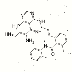 Cc1ccccc1N(C)C(=O)c1c(C)cccc1/C=C/CNc1ncnc(P)c1C(=N)/C(N)=C/C=N